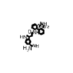 N=C(N)c1ccc2[nH]cc(CC(=O)Nc3ccccc3-c3ccccc3S(N)(=O)=O)c2c1